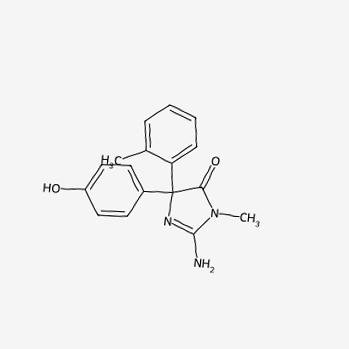 Cc1ccccc1C1(c2ccc(O)cc2)N=C(N)N(C)C1=O